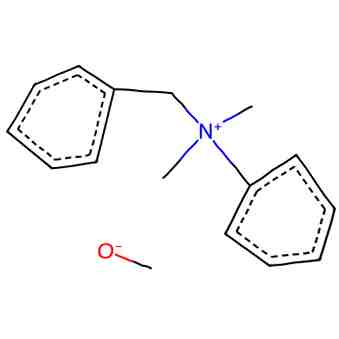 C[N+](C)(Cc1ccccc1)c1ccccc1.C[O-]